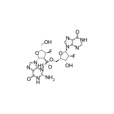 Nc1nc2c(ncn2[C@@H]2O[C@H](CO)[C@@H](F)[C@H]2P(=O)(S)OC[C@H]2O[C@@H](n3cnc4c(=O)[nH]cnc43)[C@@H](F)[C@@H]2O)c(=O)[nH]1